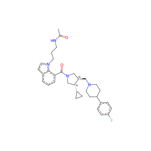 CC(=O)NCCCn1ccc2cccc(C(=O)N3C[C@@H](CN4CCC(c5ccc(F)cc5)CC4)[C@H](C4CC4)C3)c21